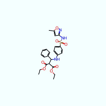 CCOC(=O)C(C(=O)OCC)C(Nc1ccc(S(=O)(=O)Nc2cc(C)on2)cc1)c1ccccc1